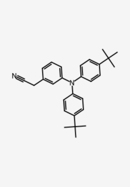 CC(C)(C)c1ccc(N(c2ccc(C(C)(C)C)cc2)c2cccc(CC#N)c2)cc1